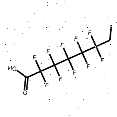 CCC(F)(F)C(F)(F)C(F)(F)C(F)(F)C(F)(F)C(=O)O